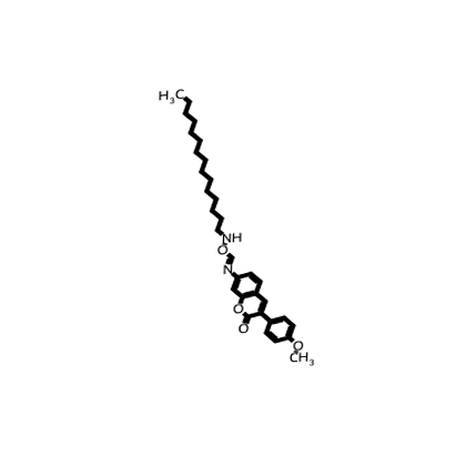 CCCCCCCCCCCCCCCNO/C=N/c1ccc2cc(-c3ccc(OC)cc3)c(=O)oc2c1